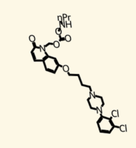 CCCNOC(=O)OCn1c(=O)ccc2ccc(OCCCCN3CCN(c4cccc(Cl)c4Cl)CC3)cc21